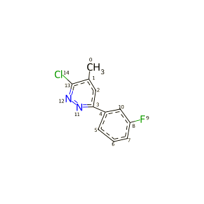 Cc1cc(-c2cccc(F)c2)nnc1Cl